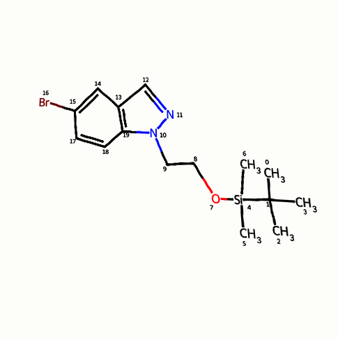 CC(C)(C)[Si](C)(C)OCCn1ncc2cc(Br)ccc21